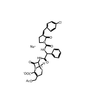 CC(=O)OCC1=C(C(=O)[O-])N2C(=O)C(NC(=O)C(NC(=O)N3CCC(=Cc4ccc(Cl)cc4)C3=O)c3ccccc3)[C@@H]2SC1.[Na+]